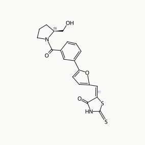 O=C1NC(=S)S/C1=C/c1ccc(-c2cccc(C(=O)N3CCC[C@H]3CO)c2)o1